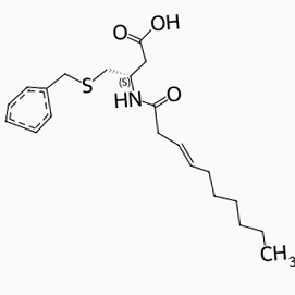 CCCCCCC=CCC(=O)N[C@H](CSCc1ccccc1)CC(=O)O